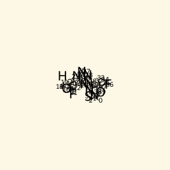 Cc1csc2nc([C@H](C)n3nc(-c4ccc(OC(C)C)c(F)c4)c4c(N)ncnc43)c(-c3cccc(F)c3)c(=O)n12